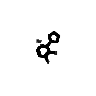 [Na+].[S-]c1ccnc(N2CCCC2)c1Cl